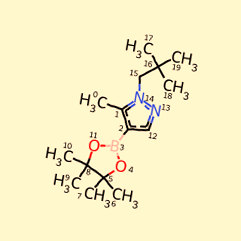 Cc1c(B2OC(C)(C)C(C)(C)O2)cnn1CC(C)(C)C